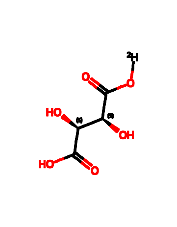 [2H]OC(=O)[C@@H](O)[C@H](O)C(=O)O